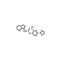 Cc1nc(-c2nccs2)ncc1OC(=O)Nn1ccc2cccnc21